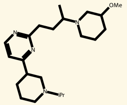 COC1CCCN(C(C)CCc2nccc(C3CCCN(C(C)C)C3)n2)C1